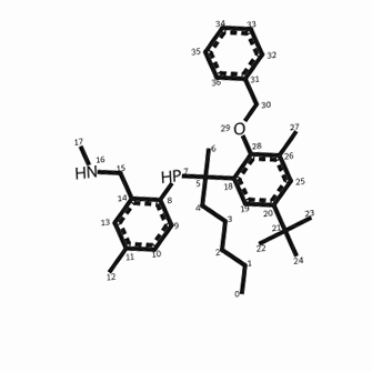 CCCCCC(C)(Pc1ccc(C)cc1CNC)c1cc(C(C)(C)C)cc(C)c1OCc1ccccc1